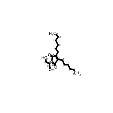 CCCCCCC1=C(CCCCCC)C(=O)NC1=O.OCCO